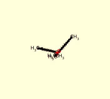 CCCCCCCCCCCCCCCCCCOCC(COC(C)(C)C)OCCCCCCCCCCCCCCCCCC